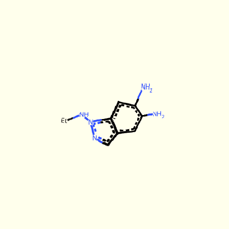 CCNn1ncc2cc(N)c(N)cc21